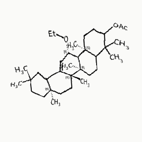 CCO[C@H]1C=C2C3CC(C)(C)CC[C@]3(C)CC[C@@]2(C)[C@]2(C)CCC3C(C)(C)C(OC(C)=O)CC[C@]3(C)C12